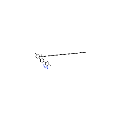 C#CC#CC#CC#CC#CC#CC#CC#CC#CC#CC#C[C@@]1(C)c2cc(C)ccc2-c2ccc(-c3ccc(C)c4c3=NCN=4)cc21